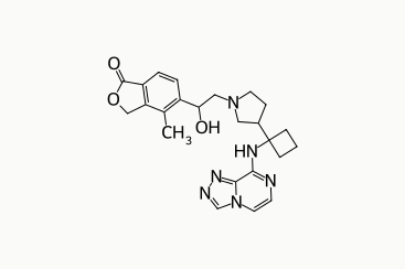 Cc1c(C(O)CN2CCC(C3(Nc4nccn5cnnc45)CCC3)C2)ccc2c1COC2=O